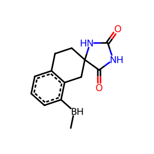 CBc1cccc2c1CC1(CC2)NC(=O)NC1=O